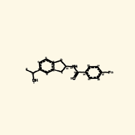 CC(O)c1ccc2c(c1)CC(NC(=O)c1ccc(F)cc1)C2